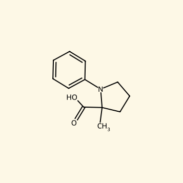 CC1(C(=O)O)CCCN1c1ccccc1